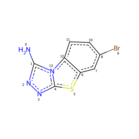 Nc1nnc2sc3cc(Br)ccc3n12